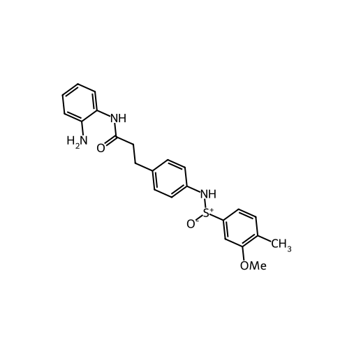 COc1cc([S+]([O-])Nc2ccc(CCC(=O)Nc3ccccc3N)cc2)ccc1C